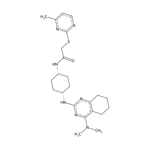 Cc1ccnc(SCC(=O)N[C@H]2CC[C@@H](Nc3nc4c(c(N(C)C)n3)CCCC4)CC2)n1